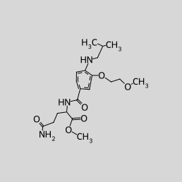 COCCOc1cc(C(=O)NC(CCC(N)=O)C(=O)OC)ccc1NCC(C)C